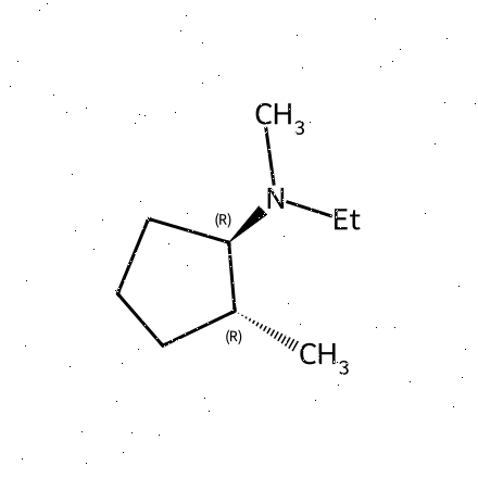 CCN(C)[C@@H]1CCC[C@H]1C